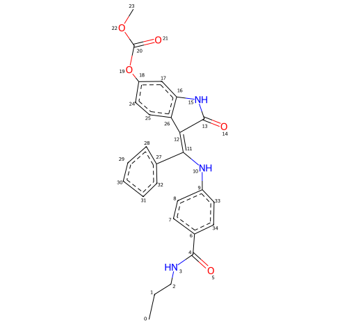 CCCNC(=O)c1ccc(N/C(=C2\C(=O)Nc3cc(OC(=O)OC)ccc32)c2ccccc2)cc1